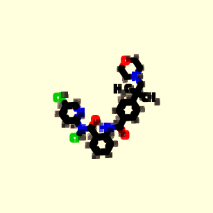 CC(C)(CN1CCOCC1)c1ccc(C(=O)Nc2ccccc2C(=O)N(Cl)c2ccc(Cl)cn2)cc1